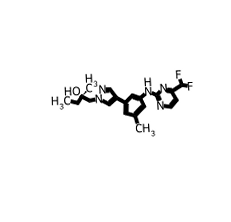 CC[C@@](C)(O)Cn1cc(-c2cc(C)cc(Nc3nccc(C(F)F)n3)c2)cn1